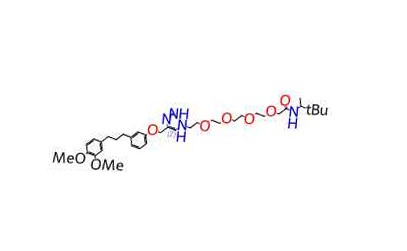 COc1ccc(CCCc2cccc(OC/C(=C/NCCOCCOCCOCCOCC(=O)NC(C)C(C)(C)C)N=N)c2)cc1OC